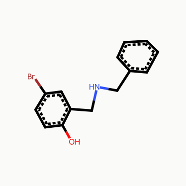 Oc1ccc(Br)cc1CNCc1ccccc1